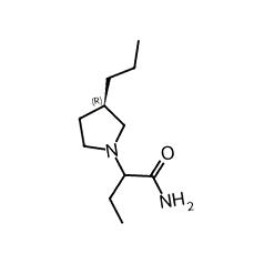 CCC[C@@H]1CCN(C(CC)C(N)=O)C1